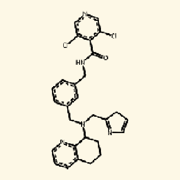 O=C(NCc1cccc(CN(CC2=NC=CC2)C2CCCc3cccnc32)c1)c1c(Cl)cncc1Cl